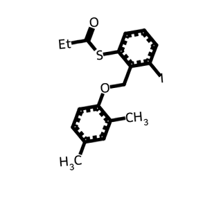 CCC(=O)Sc1cccc(I)c1COc1ccc(C)cc1C